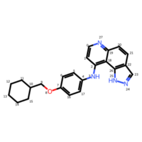 c1cc(Nc2ccc(OCC3CCCCC3)cc2)c2c(ccc3cn[nH]c32)n1